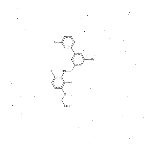 CC(C)c1cc(CNc2c(F)ccc(OCC(=O)O)c2F)cc(-c2cccc(F)c2)c1